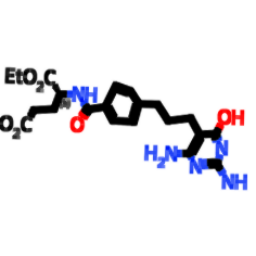 CCOC(=O)CC[C@H](NC(=O)c1ccc(CCCc2c(N)nc(N)nc2O)cc1)C(=O)OCC